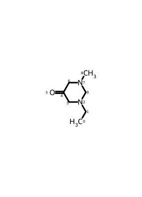 CCN1CC(=O)CN(C)C1